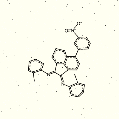 Cc1ccccc1N=C1C(=Nc2ccccc2C)c2ccc(-c3cccc([N+](=O)[O-])c3)c3cccc1c23